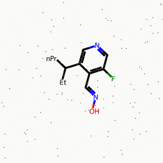 CCCC(CC)c1cncc(F)c1/C=N/O